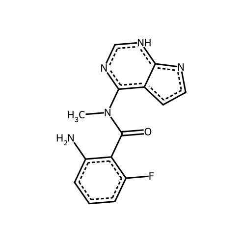 CN(C(=O)c1c(N)cccc1F)c1nc[nH]c2nccc1-2